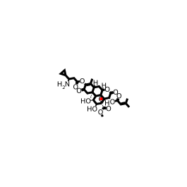 COC(=O)[C@@]12OC[C@]34C([C@@H](O)[C@@H]1O)[C@@]1(C)CC(=O)C(OC(=O)C[C@@H](N)C5CC5)=C(C)[C@@H]1C[C@H]3OC(=O)[C@H](OC(=O)C=C(C)C)[C@@H]24